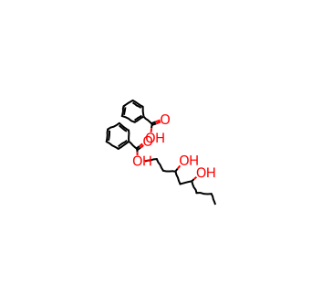 CCCC(O)CC(O)CCC.O=C(O)c1ccccc1.O=C(O)c1ccccc1